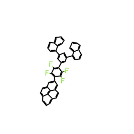 Fc1c(F)c(-c2cc3ccc4cccc5ccc(c2)c3c45)c(F)c(F)c1-c1cc(-c2cccc3ccccc23)cc(-c2cccc3ccccc23)c1